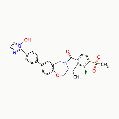 CCc1c(C(=O)N2CCOc3ccc(-c4ccc(-c5nccn5O)cc4)cc3C2)ccc(S(C)(=O)=O)c1F